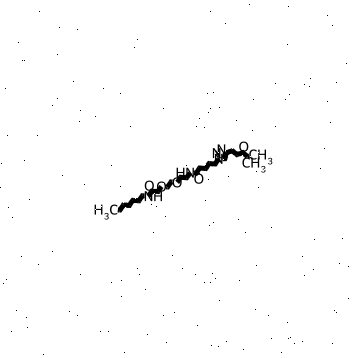 CCCCCCCNC(=O)COCCOCCNC(=O)CCCCn1cc(CCC(=O)C(C)C)nn1